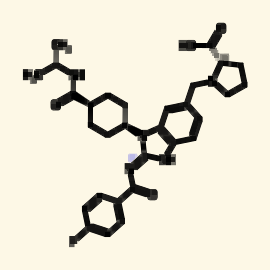 CC(C)NC(=O)[C@H]1CC[C@@H](n2/c(=N/C(=O)c3ccc(F)cc3)[nH]c3ccc(CN4CCC[C@H]4C(=O)O)cc32)CC1